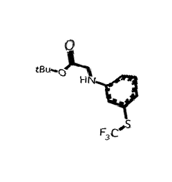 CC(C)(C)OC(=O)CNc1cccc(SC(F)(F)F)c1